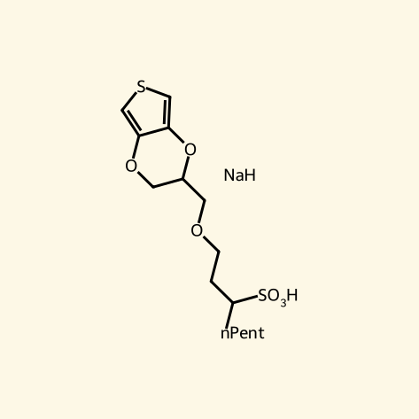 CCCCCC(CCOCC1COc2cscc2O1)S(=O)(=O)O.[NaH]